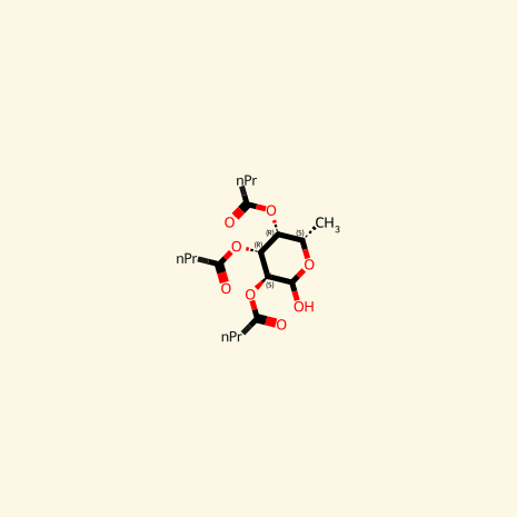 CCCC(=O)O[C@@H]1[C@H](OC(=O)CCC)[C@H](C)OC(O)[C@H]1OC(=O)CCC